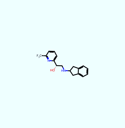 O[C@@H](CNC1Cc2ccccc2C1)c1cccc(C(F)(F)F)n1